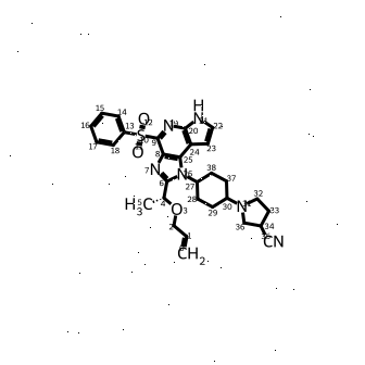 C=CCO[C@H](C)c1nc2c(S(=O)(=O)c3ccccc3)nc3[nH]ccc3c2n1C1CCC(N2CCC(C#N)C2)CC1